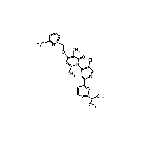 Cc1cccc(COc2cc(C)n(-c3cc(-c4ccnc(C(C)C)n4)ncc3Cl)c(=O)c2C)n1